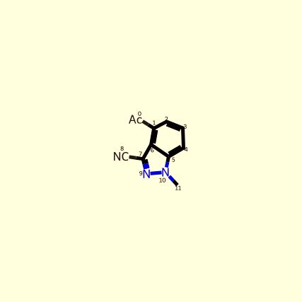 CC(=O)c1cccc2c1c(C#N)nn2C